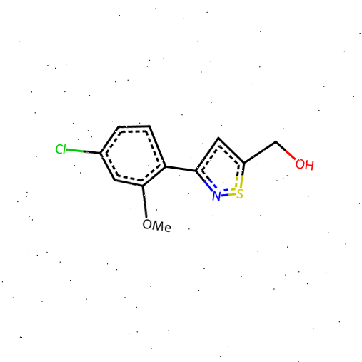 COc1cc(Cl)ccc1-c1cc(CO)sn1